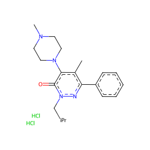 Cc1c(-c2ccccc2)nn(CC(C)C)c(=O)c1N1CCN(C)CC1.Cl.Cl